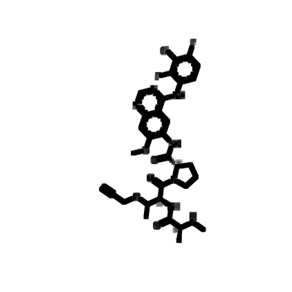 C#CCOC(C)[C@H](NC(=O)[C@H](C)NC)C(=O)N1CCC[C@H]1C(=O)Nc1cc2c(Nc3ccc(F)c(Cl)c3F)ncnc2cc1OC